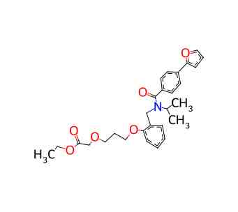 CCOC(=O)COCCCOc1ccccc1CN(C(=O)c1ccc(-c2ccco2)cc1)C(C)C